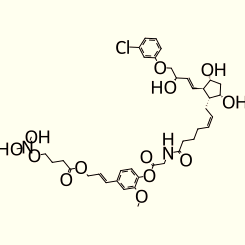 COc1cc(/C=C/COC(=O)CCCON(O)O)ccc1OC(=O)CNC(=O)CCC/C=C\C[C@@H]1[C@@H](/C=C/[C@@H](O)COc2cccc(Cl)c2)[C@H](O)C[C@@H]1O